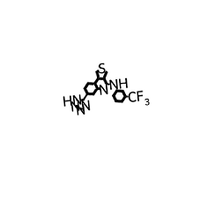 FC(F)(F)c1cccc(Nc2nc3cc(-c4nnn[nH]4)ccc3c3cscc23)c1